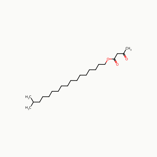 CC(=O)CC(=O)OCCCCCCCCCCCCCCCC(C)C